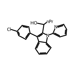 CCCC(O)c1c(-c2ccc(Cl)cc2)c2ccccc2n1-c1ccccn1